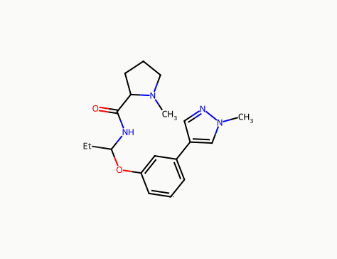 CCC(NC(=O)C1CCCN1C)Oc1c[c]cc(-c2cnn(C)c2)c1